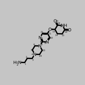 NCCCN1CCN(c2ncc(OC3CCC(=O)NC3=O)cn2)CC1